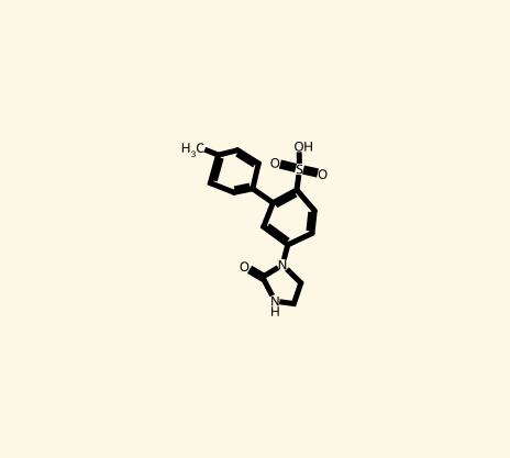 Cc1ccc(-c2cc(N3CCNC3=O)ccc2S(=O)(=O)O)cc1